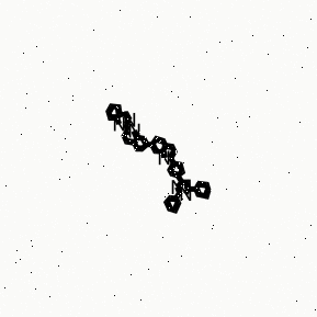 c1ccc(-c2cc(-c3ccc(-c4ccc5ccc(-c6ccc7ccc(-c8ncc9ccccc9n8)nc7c6)cc5n4)cc3)nc(-c3ccccc3)n2)cc1